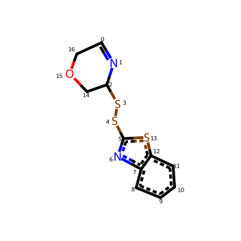 C1=NC(SSc2nc3ccccc3s2)COC1